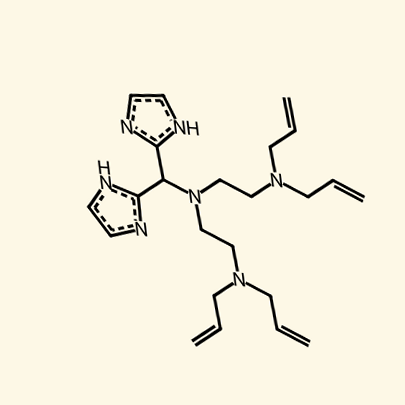 C=CCN(CC=C)CCN(CCN(CC=C)CC=C)C(c1ncc[nH]1)c1ncc[nH]1